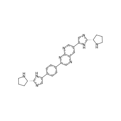 c1cc(-c2cnc([C@@H]3CCCN3)[nH]2)ccc1-c1cnc2cc(-c3cnc([C@@H]4CCCN4)[nH]3)cnc2n1